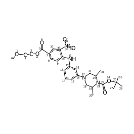 COCCOC(=O)c1ccc(Nc2cccc(N3CC(C)N(C(=O)OC(C)(C)C)C(C)C3)c2)c([N+](=O)[O-])c1